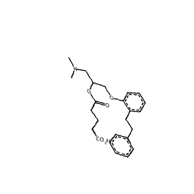 CN(C)CC(COc1ccccc1CCc1ccccc1)OC(=O)CCCC(=O)O